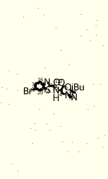 CC(C)COC(=O)C(Cn1ccnc1)NC(=O)c1nc2ccc(Br)cc2s1